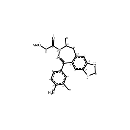 CONC(=O)N1N=C(c2ccc(N)c(C)c2)c2cc3c(cc2CC1C)OCO3